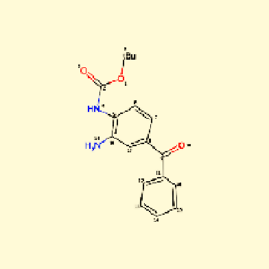 CC(C)(C)OC(=O)Nc1ccc(C(=O)c2ccccc2)cc1N